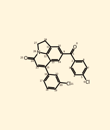 O=C(c1ccc(Cl)cc1)c1cc2c3c(c1)c(-c1cccc(Cl)c1)cc(=O)n3CC2